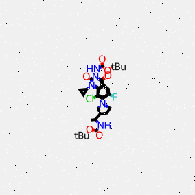 CC(NC(=O)OC(C)(C)C)C1CCN(c2c(F)cc3c(=O)n(NC(=O)OC(C)(C)C)c(=O)n(C4CC4)c3c2Cl)C1